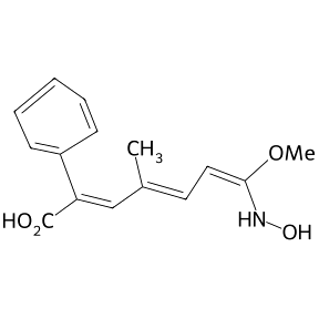 CO/C(=C/C=C(C)/C=C(/C(=O)O)c1ccccc1)NO